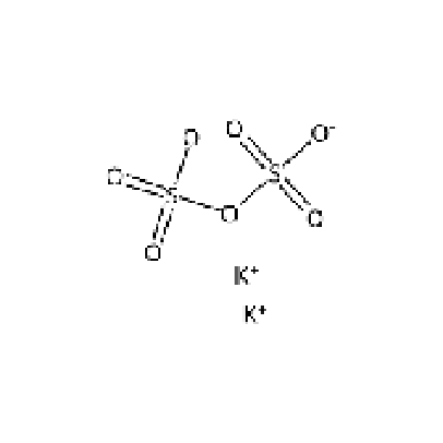 O=S(=O)([O-])OS(=O)(=O)[O-].[K+].[K+]